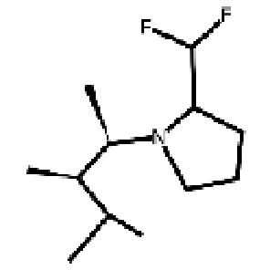 CC(C)[C@@H](C)[C@@H](C)N1CCCC1C(F)F